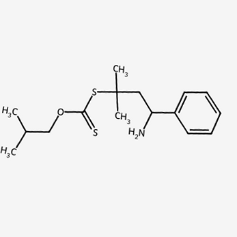 CC(C)COC(=S)SC(C)(C)CC(N)c1ccccc1